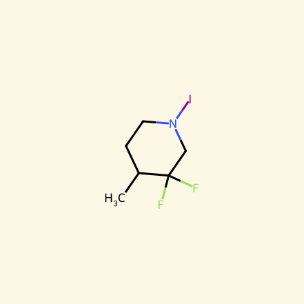 CC1CCN(I)CC1(F)F